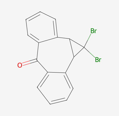 O=C1c2ccccc2C2C(c3ccccc31)C2(Br)Br